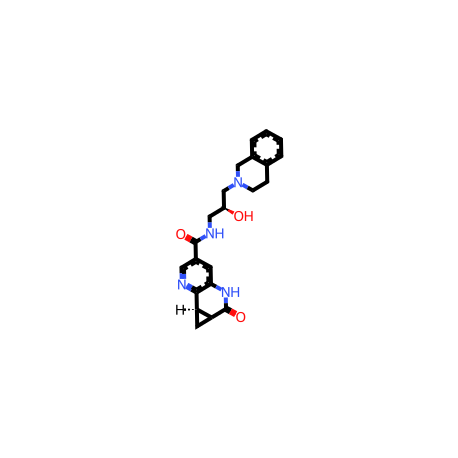 O=C(NC[C@H](O)CN1CCc2ccccc2C1)c1cnc2c(c1)NC(=O)C1C[C@@H]21